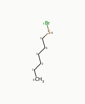 CCCCCCSBr